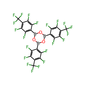 Fc1c(F)c(C(F)(F)F)c(F)c(F)c1B1OB(c2c(F)c(F)c(C(F)(F)F)c(F)c2F)OB(c2c(F)c(F)c(C(F)(F)F)c(F)c2F)O1